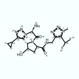 Cn1nnc(CNC(=O)C2CC(O)CN2C(=O)[C@@H](n2cc(C3CC3)nn2)C(C)(C)C)c1C(F)F